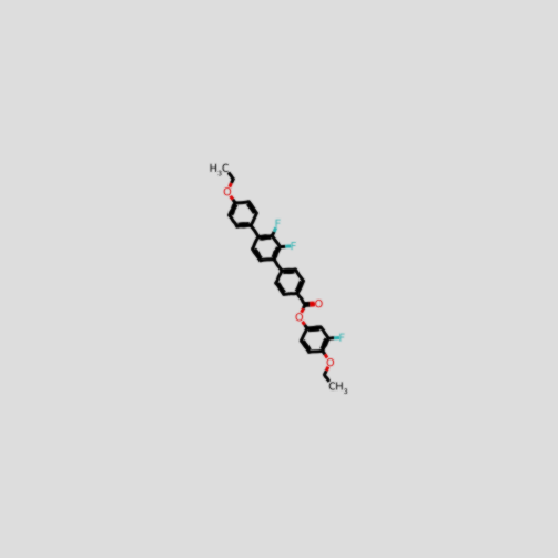 CCOc1ccc(-c2ccc(-c3ccc(C(=O)Oc4ccc(OCC)c(F)c4)cc3)c(F)c2F)cc1